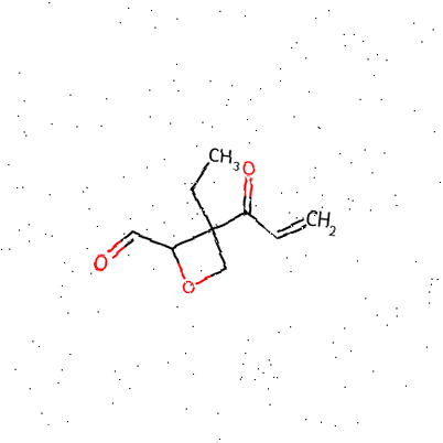 C=CC(=O)C1(CC)COC1C=O